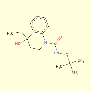 CCC1(O)CCN(C(=O)NOC(C)(C)C)c2ccccc21